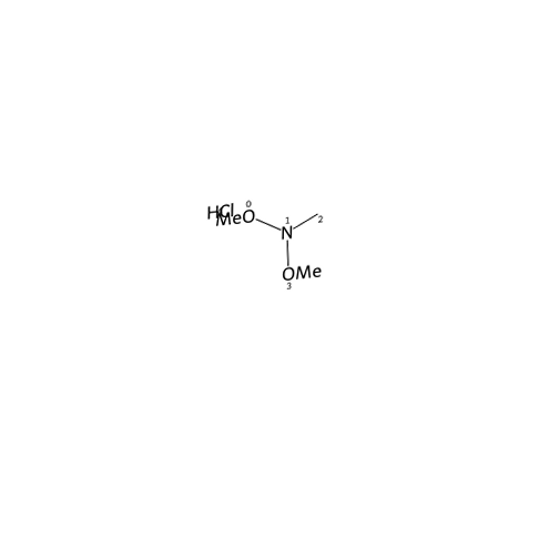 CON(C)OC.Cl